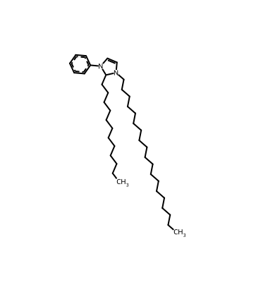 CCCCCCCCCCCCCCCCCCCN1C=CN(c2ccccc2)C1CCCCCCCCCCCC